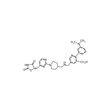 CN(C)c1cccc(-c2ncc(CNCC3CCN(c4nccc(/C=C5/SC(=O)NC5=O)n4)CC3)cc2C(=O)O)c1